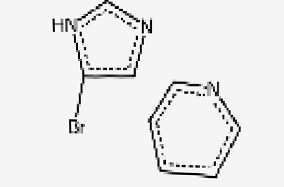 Brc1cnc[nH]1.c1ccncc1